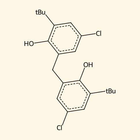 CC(C)(C)c1cc(Cl)cc(Cc2cc(Cl)cc(C(C)(C)C)c2O)c1O